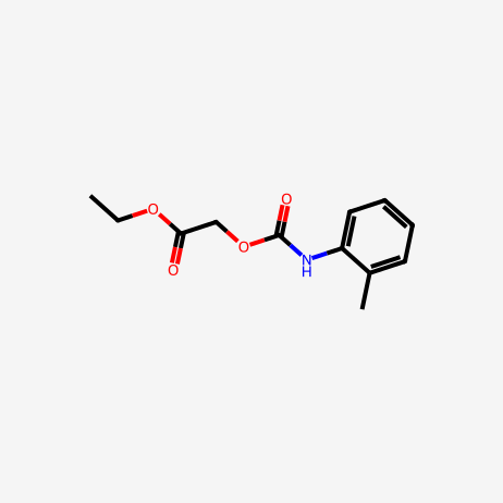 CCOC(=O)COC(=O)Nc1ccccc1C